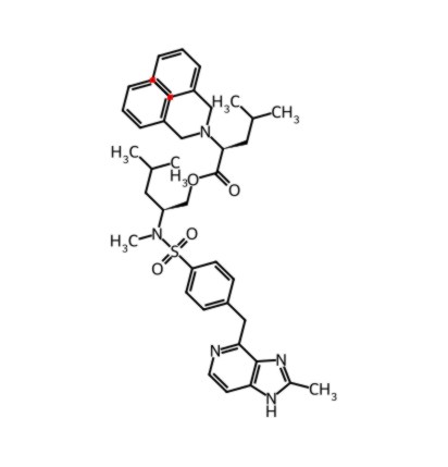 Cc1nc2c(Cc3ccc(S(=O)(=O)N(C)[C@H](COC(=O)[C@H](CC(C)C)N(Cc4ccccc4)Cc4ccccc4)CC(C)C)cc3)nccc2[nH]1